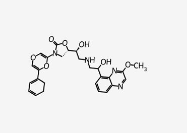 COc1cnc2cccc(C(O)CNC[C@H](O)[C@@H]3CN(C4=COC=C(C5=CC=CCC5)O4)C(=O)O3)c2n1